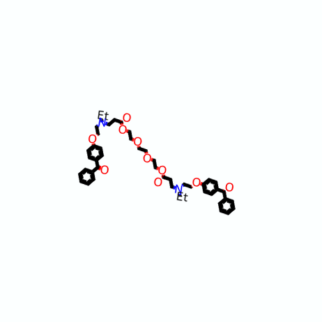 CCN(CCOc1ccc(C(=O)c2ccccc2)cc1)CCC(=O)OCCOCCOCCOC(=O)CCN(CC)CCOc1ccc(C(=O)c2ccccc2)cc1